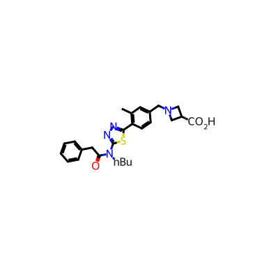 CCCCN(C(=O)Cc1ccccc1)c1nnc(-c2ccc(CN3CC(C(=O)O)C3)cc2C)s1